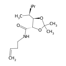 C=CCCNC(=O)[C@H]1OC(C)(C)O[C@@H]1[C@@H](C)C(C)C